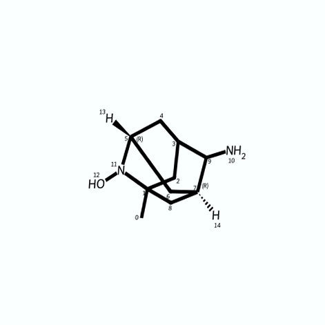 CC12CC3C[C@H](C[C@H](C1)C3N)N2O